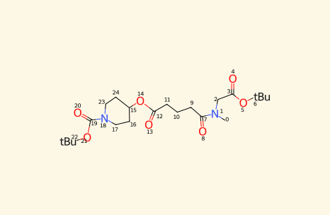 CN(CC(=O)OC(C)(C)C)C(=O)CCCC(=O)OC1CCN(C(=O)OC(C)(C)C)CC1